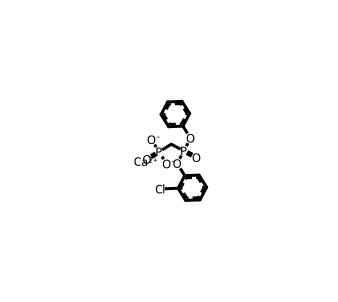 O=P([O-])([O-])CP(=O)(Oc1ccccc1)Oc1ccccc1Cl.[Ca+2]